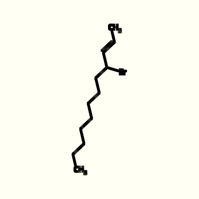 C/C=C/C(Br)CCCCCCCC